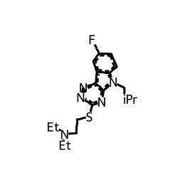 CCN(CC)CCSc1nnc2c3cc(F)ccc3n(CC(C)C)c2n1